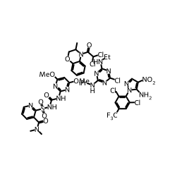 CC1COc2ccccc2N1C(=O)C(Cl)Cl.CCNc1nc(Cl)nc(NC(C)C)n1.COc1cc(OC)nc(NC(=O)NS(=O)(=O)c2ncccc2C(=O)N(C)C)n1.Nc1c([N+](=O)[O-])cnn1-c1c(Cl)cc(C(F)(F)F)cc1Cl